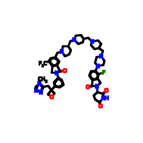 Cn1cnnc1CC1(c2cccc(N3Cc4c(cc(CN5CCC[C@H](CN6CCC(CN7CCC(CN8CCN(c9ccc%10c(c9F)CN(C9CCC(=O)NC9=O)C%10=O)CC8)CC7)CC6)C5)cc4C(F)(F)F)C3=O)c2)COC1